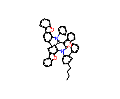 CCCCc1ccc(N2c3oc4ccccc4c3B3c4c(cc5c(oc6ccccc65)c42)-c2ccc4c(oc5ccccc54)c2N3c2ccccc2)c(-c2ccccc2)c1